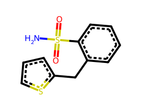 NS(=O)(=O)c1ccccc1Cc1cccs1